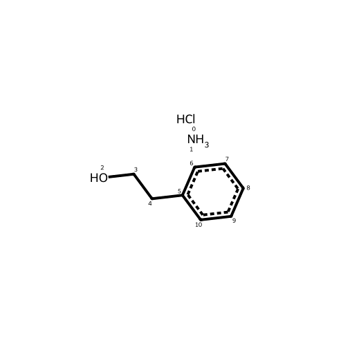 Cl.N.OCCc1ccccc1